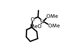 CO[Si](OC)(OC)C(C)OC1CCCCC1